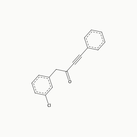 O=C(C#Cc1ccccc1)Cc1cccc(Cl)c1